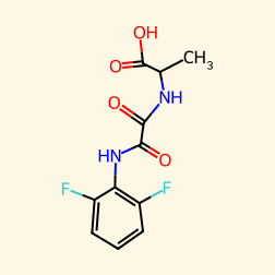 CC(NC(=O)C(=O)Nc1c(F)cccc1F)C(=O)O